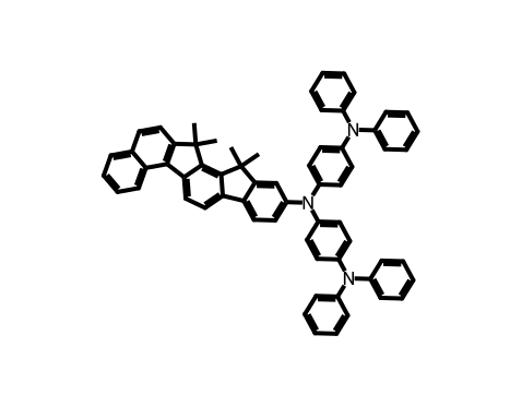 CC1(C)c2cc(N(c3ccc(N(c4ccccc4)c4ccccc4)cc3)c3ccc(N(c4ccccc4)c4ccccc4)cc3)ccc2-c2ccc3c(c21)C(C)(C)c1ccc2ccccc2c1-3